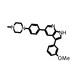 COc1cccc(-c2c[nH]c3ncc(-c4ccc(N5CCN(C)CC5)cc4)cc23)c1